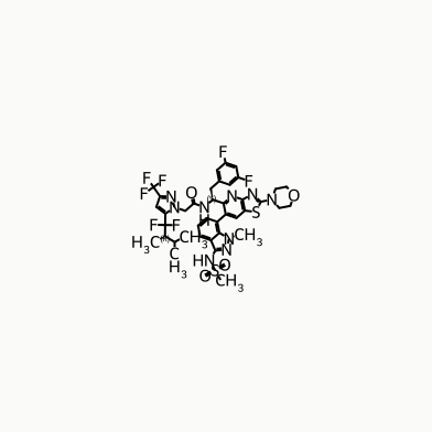 CC(C)[C@@H](C)C(F)(F)c1cc(C(F)(F)F)nn1CC(=O)N[C@@H](Cc1cc(F)cc(F)c1)c1nc2nc(N3CCOCC3)sc2cc1-c1cccc2c(NS(C)(=O)=O)nn(C)c12